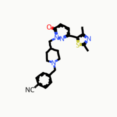 Cc1nc(C)c(-c2ccc(=O)n(CC3CCN(Cc4ccc(C#N)cc4)CC3)n2)s1